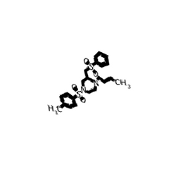 CCCCN1CCN(S(=O)(=O)c2ccc(C)cc2)CC1CS(=O)(=O)c1ccccc1